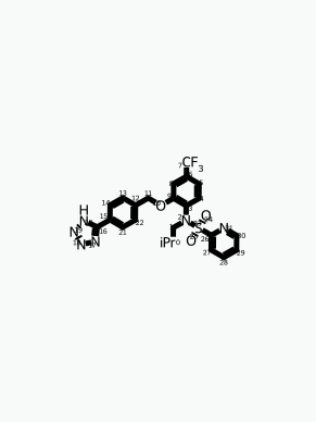 CC(C)CN(c1ccc(C(F)(F)F)cc1OCc1ccc(-c2nnn[nH]2)cc1)S(=O)(=O)c1ccccn1